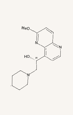 COc1ccc2nccc([C@@H](O)CN3CC[CH]CC3)c2n1